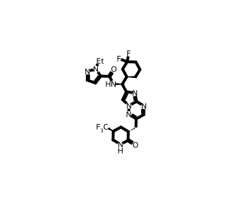 CCn1nccc1C(=O)N[C@H](c1cn2nc(C[C@H]3C[C@H](C(F)(F)F)CNC3=O)cnc2n1)[C@@H]1CCCC(F)(F)C1